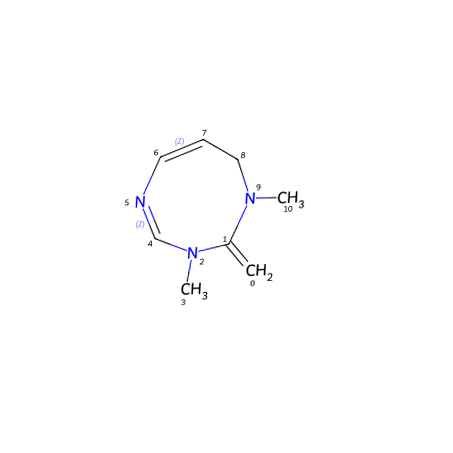 C=C1N(C)/C=N\C=C/CN1C